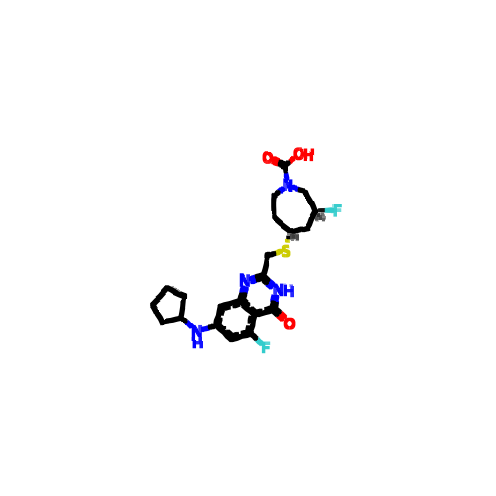 O=C(O)N1CC[C@@H](SCc2nc3cc(NC4CCCC4)cc(F)c3c(=O)[nH]2)C[C@H](F)C1